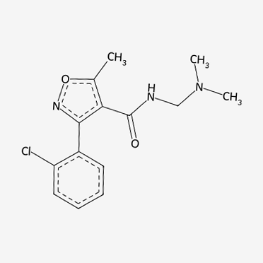 Cc1onc(-c2ccccc2Cl)c1C(=O)NCN(C)C